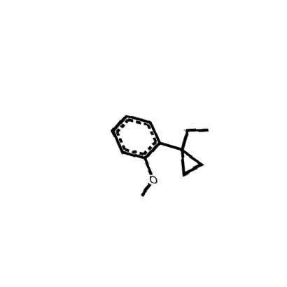 C[CH]C1(c2ccccc2OC)CC1